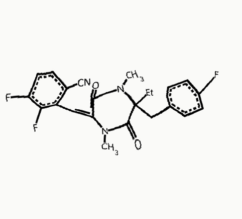 CCC1(Cc2ccc(F)cc2)C(=O)N(C)/C(=C/c2c(C#N)ccc(F)c2F)C(=O)N1C